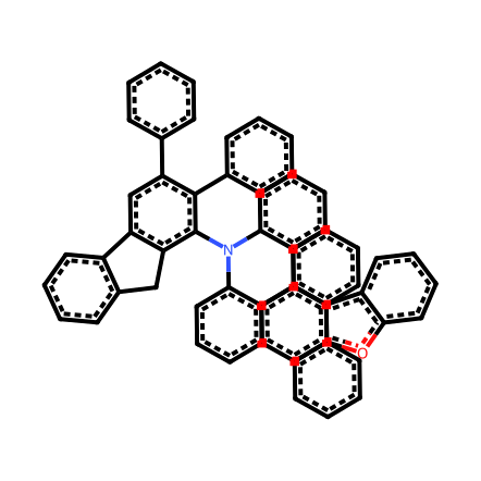 c1ccc(-c2ccccc2-c2ccccc2N(c2ccccc2-c2cccc3oc4ccccc4c23)c2c3c(cc(-c4ccccc4)c2-c2ccccc2)-c2ccccc2C3)cc1